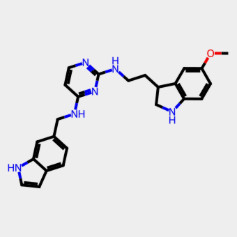 COc1ccc2c(c1)C(CCNc1nccc(NCc3ccc4cc[nH]c4c3)n1)CN2